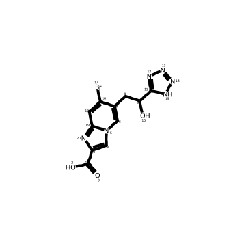 O=C(O)c1cn2cc(CC(O)c3nnn[nH]3)c(Br)cc2n1